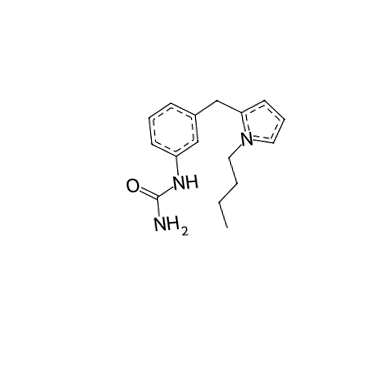 CCCCn1cccc1Cc1cccc(NC(N)=O)c1